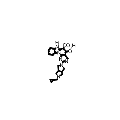 O=C(O)c1c(=O)c2cnc(N3CC4CN(CC5CC5)CC4C3)nc2n2c1[nH]c1ccccc12